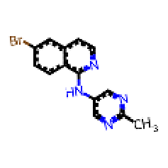 Cc1ncc(Nc2nccc3cc(Br)ccc23)cn1